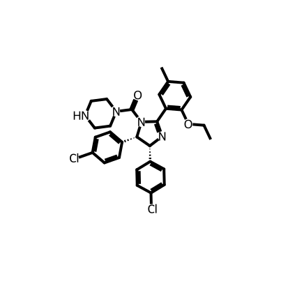 CCOc1ccc(C)cc1C1=N[C@H](c2ccc(Cl)cc2)[C@H](c2ccc(Cl)cc2)N1C(=O)N1CCNCC1